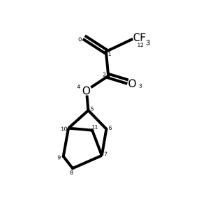 C=C(C(=O)OC1CC2CCC1C2)C(F)(F)F